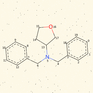 c1ccc(CN(Cc2ccccc2)C2CCOC2)cc1